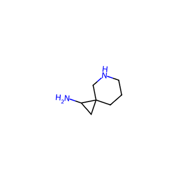 NC1CC12CCCNC2